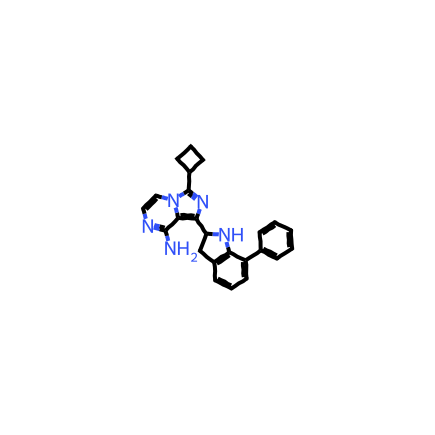 Nc1nccn2c(C3CCC3)nc(C3Cc4cccc(-c5ccccc5)c4N3)c12